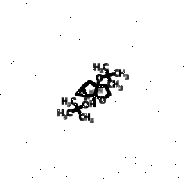 CC(C)(C)O[C@@]12CCO[C@@H]1[C@@]1(OC(C)(C)C)CC1C2